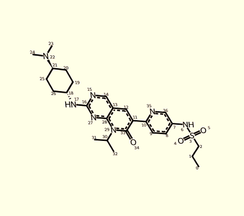 CCCS(=O)(=O)Nc1ccc(-c2cc3cnc(N[C@H]4CC[C@H](N(C)C)CC4)nc3n(C(C)C)c2=O)nc1